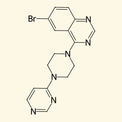 Brc1ccc2ncnc(N3CCN(c4ccncn4)CC3)c2c1